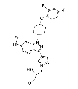 CCNc1cc2c(cn1)c(-c1cnn(C[C@@H](O)CO)c1)nn2[C@H]1CC[C@@H](Oc2ccc(F)cc2F)CC1